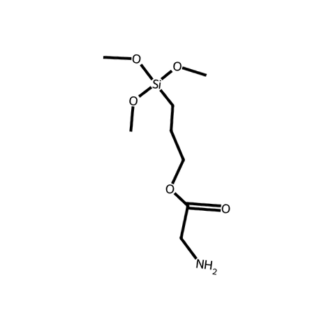 CO[Si](CCCOC(=O)CN)(OC)OC